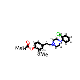 CNC(=O)Oc1ccc(CCN2CCN(c3ccccc3Cl)CC2)cc1OC